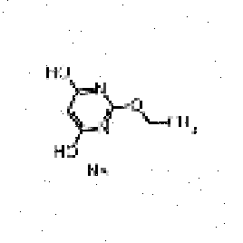 CCOc1nc(O)cc(O)n1.[Na]